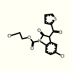 O=C(c1cccs1)C1C(=O)N(C(=O)OCCCl)c2ccc(Cl)cc21